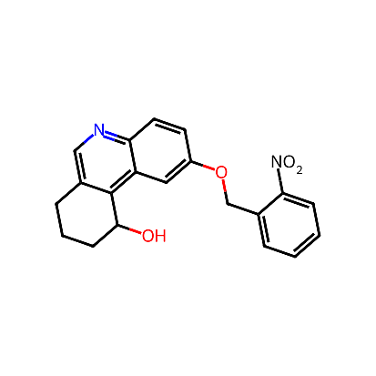 O=[N+]([O-])c1ccccc1COc1ccc2ncc3c(c2c1)C(O)CCC3